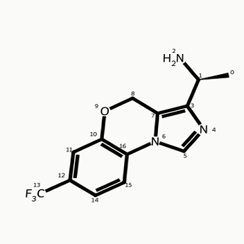 C[C@H](N)c1ncn2c1COc1cc(C(F)(F)F)ccc1-2